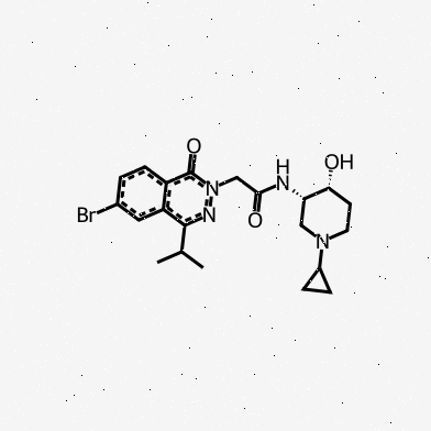 CC(C)c1nn(CC(=O)N[C@H]2CN(C3CC3)CC[C@H]2O)c(=O)c2ccc(Br)cc12